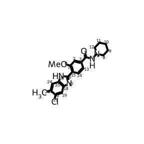 COc1cc(C(=O)NN2CCCCC2)ccc1-c1nc2cc(Cl)c(C)cc2[nH]1